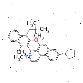 Cc1c2c(c(CC(C)(C)C)c3ccccc13)Oc1cc3cc(C4CCCC4)ccc3c3cc[n+](C)c-2c13